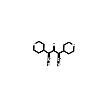 [N-]=[N+]=C(C(=O)C(=[N+]=[N-])C1CCOCC1)C1CCOCC1